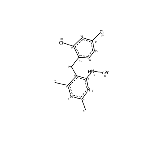 CCCNc1nc(C)nc(C)c1Cc1ccc(Cl)cc1Cl